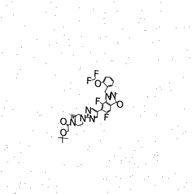 C[C@@H]1CN(c2ncc(-c3c(F)cc4c(=O)n(C)n(Cc5ccccc5OC(F)F)c4c3F)cn2)CCN1C(=O)COC(C)(C)C